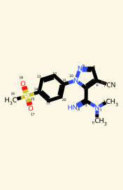 CN(C)C(=N)c1c(C#N)cnn1-c1ccc(S(C)(=O)=O)cc1